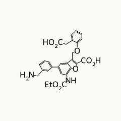 CCOC(=O)Nc1cc(-c2cccc(CN)c2)cc2c(COc3ccccc3CC(=O)O)c(C(=O)O)oc12